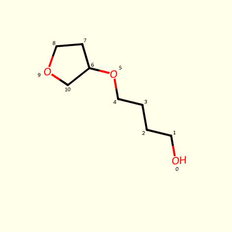 OCCCCOC1CCOC1